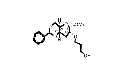 CO[C@H]1O[C@@H]2COC(c3ccccc3)O[C@H]2C[C@H]1OCCCO